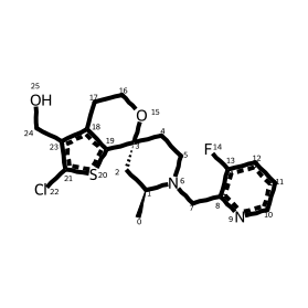 C[C@H]1C[C@@]2(CCN1Cc1ncccc1F)OCCc1c2sc(Cl)c1CO